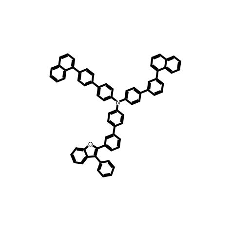 c1ccc(-c2c(-c3cccc(-c4ccc(N(c5ccc(-c6ccc(-c7cccc8ccccc78)cc6)cc5)c5ccc(-c6cccc(-c7cccc8ccccc78)c6)cc5)cc4)c3)oc3ccccc23)cc1